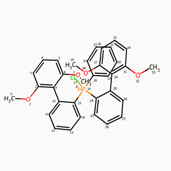 COc1cccc(OC)c1-c1ccccc1[PH](Cl)(c1ccccc1)c1ccccc1-c1c(OC)cccc1OC